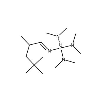 CC(C=N[PH](N(C)C)(N(C)C)N(C)C)CC(C)(C)C